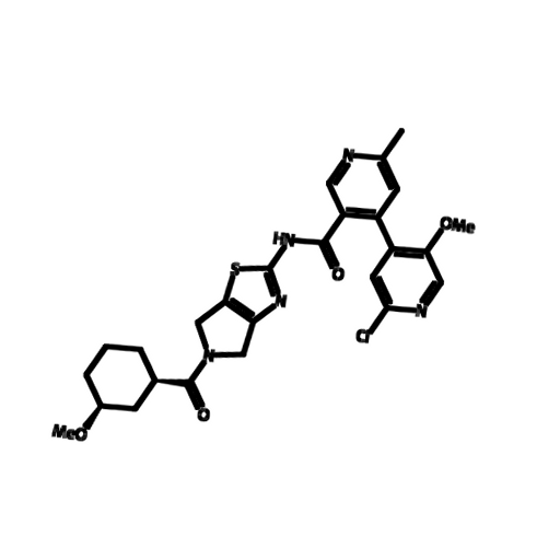 COc1cnc(Cl)cc1-c1cc(C)ncc1C(=O)Nc1nc2c(s1)CN(C(=O)[C@@H]1CCC[C@H](OC)C1)C2